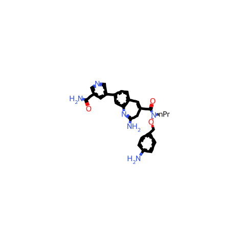 CCCN(OCc1ccc(N)cc1)C(=O)C1=Cc2ccc(-c3cncc(C(N)=O)c3)cc2N=C(N)C1